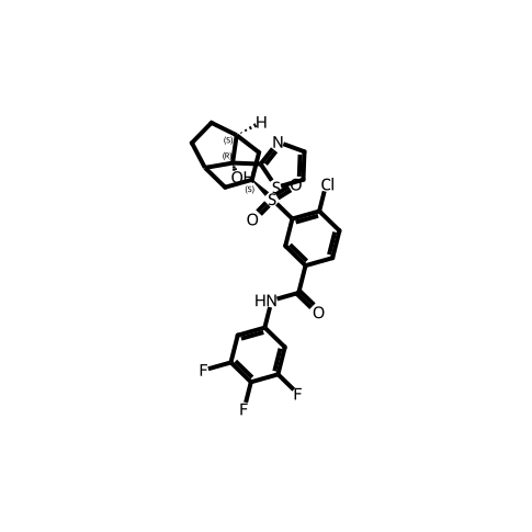 O=C(Nc1cc(F)c(F)c(F)c1)c1ccc(Cl)c(S(=O)(=O)[C@H]2CC3CC[C@@H](C2)[C@@]3(O)c2nccs2)c1